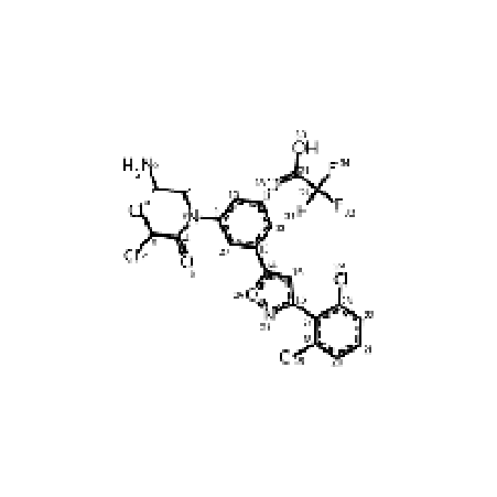 NCCN(C(=O)C(Cl)Cl)c1cccc(-c2cc(-c3c(Cl)cccc3Cl)no2)c1.O=C(O)C(F)(F)F